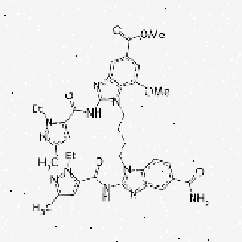 CCn1nc(C)cc1C(=O)Nc1nc2cc(C(N)=O)ccc2n1CCCCn1c(NC(=O)c2cc(C)nn2CC)nc2cc(C(=O)OC)cc(OC)c21